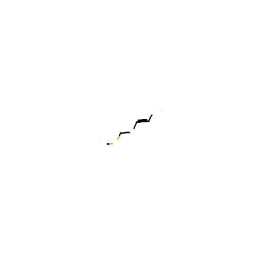 CC=CBCSC